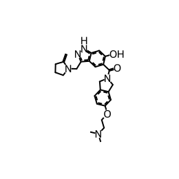 C=C1CCCN1Cc1n[nH]c2cc(O)c(C(=O)N3Cc4ccc(OCCN(C)C)cc4C3)cc12